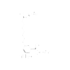 CCCCCCC1C=CC(CCCCCCCC(=O)OOC(C)=O)CC1C(=O)OOC(C)=O